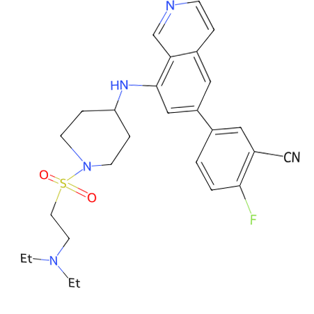 CCN(CC)CCS(=O)(=O)N1CCC(Nc2cc(-c3ccc(F)c(C#N)c3)cc3ccncc23)CC1